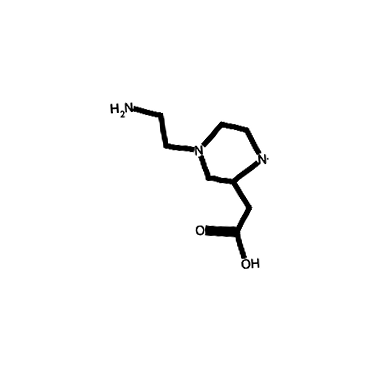 NCCN1CC[N]C(CC(=O)O)C1